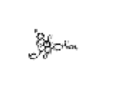 C=CC(=O)N1CCN(c2nc(=O)n3c4c(c(-c5ccc(F)cc5F)c(Cl)cc24)OCC3Cn2ccnc2)[C@@H](C)C1